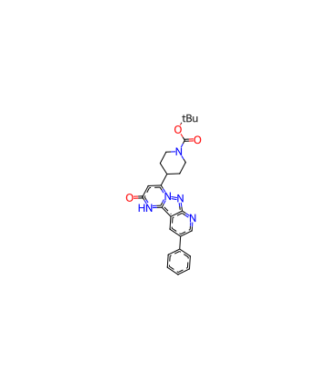 CC(C)(C)OC(=O)N1CCC(c2cc(=O)[nH]c3c4cc(-c5ccccc5)cnc4nn23)CC1